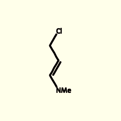 CNC=CCCl